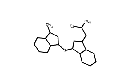 CCCCC(CC)CC1CC(SC2CC(C)C3CCCCC23)C2CCCCC12